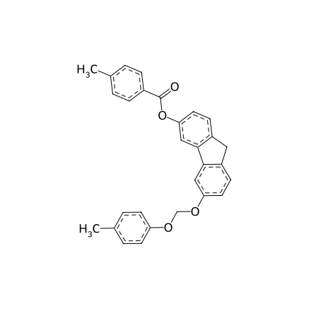 Cc1ccc(OCOc2ccc3c(c2)-c2cc(OC(=O)c4ccc(C)cc4)ccc2C3)cc1